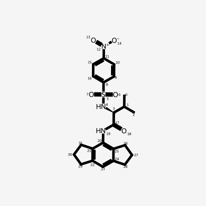 CC(C)[C@H](NS(=O)(=O)c1ccc([N+](=O)[O-])cc1)C(=O)Nc1c2c(cc3c1CCC3)CCC2